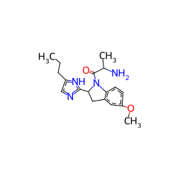 CCCc1cnc(C2Cc3cc(OC)ccc3N2C(=O)C(C)N)[nH]1